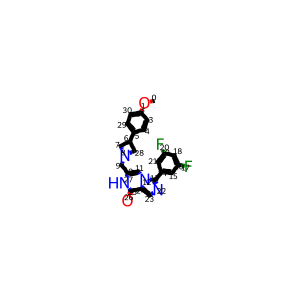 COc1ccc(C2CN(Cc3cn4c(-c5cc(F)cc(F)c5)ncc4c(=O)[nH]3)C2)cc1